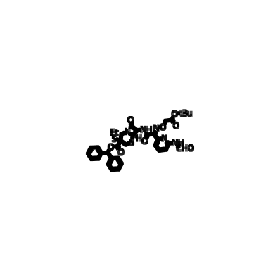 CCSC1(C(=O)OC(c2ccccc2)c2ccccc2)CS[C@@H]2C(NC(=O)C(=NOCC(=O)OC(C)(C)C)c3cccc(NC=O)n3)C(=O)N2C1